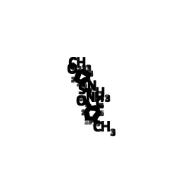 COc1ccc2nc(NC(=O)c3ccc(C)cc3C)sc2c1